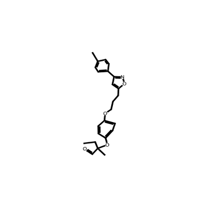 CCC(C)(C=O)Oc1ccc(OCCCc2cc(-c3ccc(C)cc3)no2)cc1